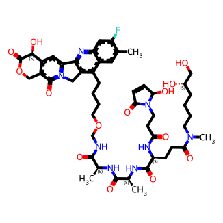 Cc1cc2c(CCCCOCNC(=O)[C@H](C)NC(=O)[C@H](C)NC(=O)[C@H](CCC(=O)N(C)CCCC[C@H](O)CO)NC(=O)CCN3C(=O)C=CC3O)c3c(nc2cc1F)-c1cc2c(c(=O)n1C3)COC(=O)[C@H]2O